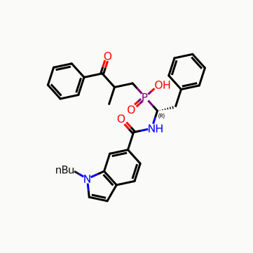 CCCCn1ccc2ccc(C(=O)N[C@@H](Cc3ccccc3)P(=O)(O)CC(C)C(=O)c3ccccc3)cc21